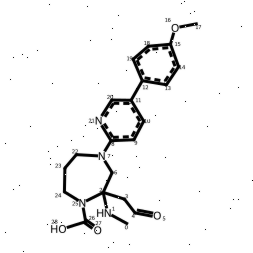 CNC1(CC=O)CN(c2ccc(-c3ccc(OC)cc3)cn2)CCCN1C(=O)O